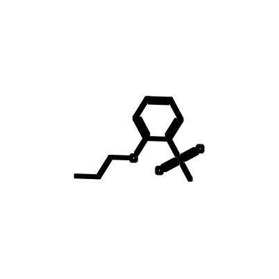 CCCOc1ccccc1S(C)(=O)=O